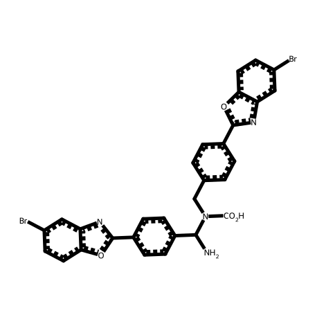 NC(c1ccc(-c2nc3cc(Br)ccc3o2)cc1)N(Cc1ccc(-c2nc3cc(Br)ccc3o2)cc1)C(=O)O